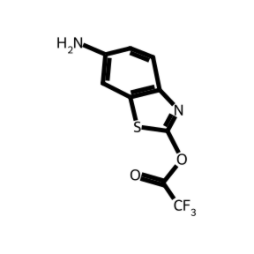 Nc1ccc2nc(OC(=O)C(F)(F)F)sc2c1